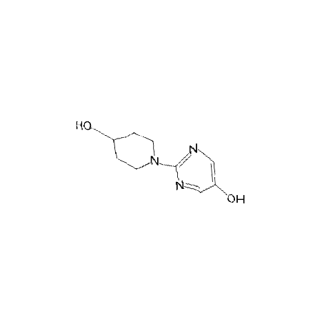 Oc1cnc(N2CCC(O)CC2)nc1